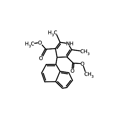 COC(=O)C1=C(C)NC(C)=C(C(=O)OC)C1c1cccc2ccccc12